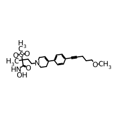 COCCCC#Cc1ccc(C2=CCN(CCC(C)(C(=O)NO)S(C)(=O)=O)CC2)cc1